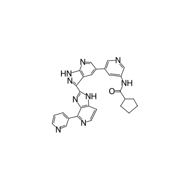 O=C(Nc1cncc(-c2cnc3[nH]nc(-c4nc5c(-c6cccnc6)nccc5[nH]4)c3c2)c1)C1CCCC1